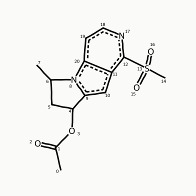 CC(=O)OC1CC(C)n2c1cc1c(S(C)(=O)=O)nccc12